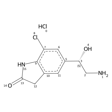 Cl.NC[C@@H](O)c1cc(Cl)c2c(c1)CC(=O)N2